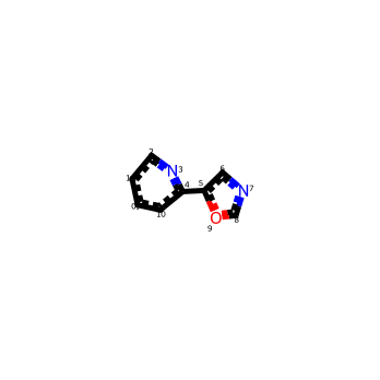 [c]1ccnc(-c2cnco2)c1